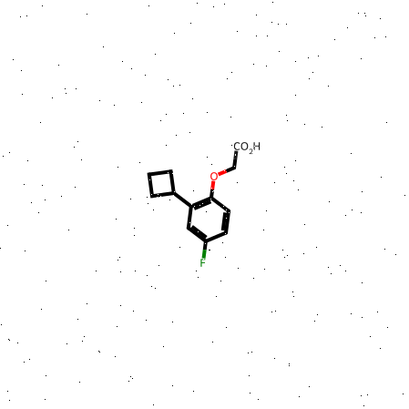 O=C(O)COc1ccc(F)cc1C1CCC1